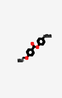 CCCCCCCCc1ccc(OC(=O)c2ccc(OC[C@@H](C)CC)cc2)cc1